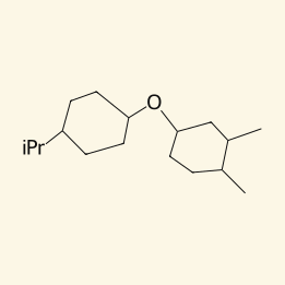 CC(C)C1CCC(OC2CCC(C)C(C)C2)CC1